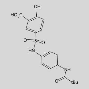 CC(C)(C)C(=O)Nc1ccc(NS(=O)(=O)c2ccc(O)c(C(=O)O)c2)cc1